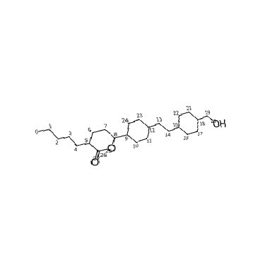 CCCCCC1CCC(C2CCC(CCC3CCC(CO)CC3)CC2)OC1=O